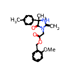 C=C1N[C@@](C)(c2ccc(C)cc2)C(=O)N1CC(=O)OCc1ccccc1OC